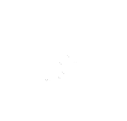 CCOc1cccc2oc(-c3cn4nc(SC)sc4n3)nc12